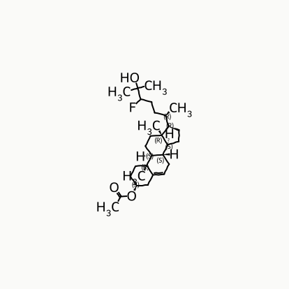 CC(=O)O[C@H]1CC[C@@]2(C)C(=CC[C@H]3[C@@H]4CC[C@H]([C@H](C)CCC(F)C(C)(C)O)[C@@]4(C)CC[C@@H]32)C1